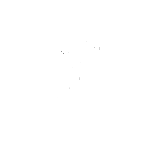 O=C(NCc1ccccc1)C(=O)[C@H](C[C@@H]1CCCNC1=O)NC(=O)[C@H](CC1CCCC1)NC(=O)c1cc2ccccc2[nH]1